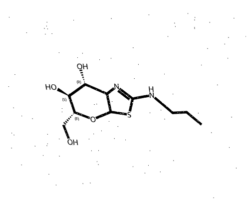 CCCNC1=NC2C(O[C@H](CO)[C@@H](O)[C@@H]2O)S1